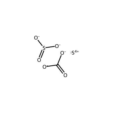 O=C([O-])[O-].O=S([O-])[O-].[S+4]